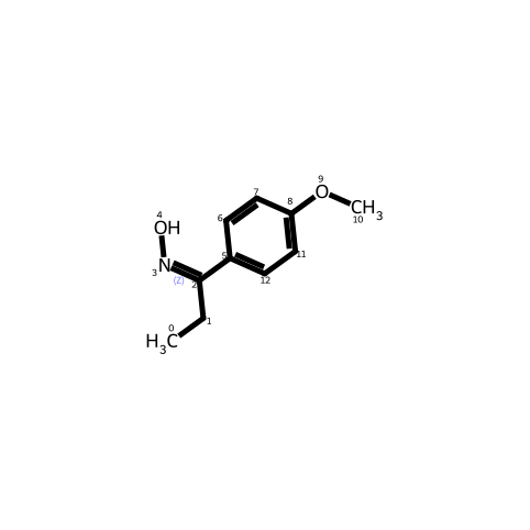 CC/C(=N/O)c1ccc(OC)cc1